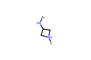 [CH2-][NH+]1CC(NC(C)=O)C1